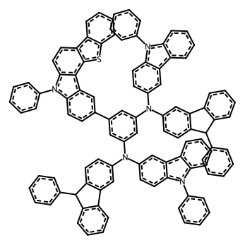 c1ccc(C2c3ccccc3-c3cc(N(c4cc(-c5ccc6c(c5)c5c7sc8ccccc8c7ccc5n6-c5ccccc5)cc(N(c5ccc6c(c5)-c5ccccc5C6c5ccccc5)c5ccc6c(c5)c5ccccc5n6-c5ccccc5)c4)c4ccc5c(c4)c4ccccc4n5-c4ccccc4)ccc32)cc1